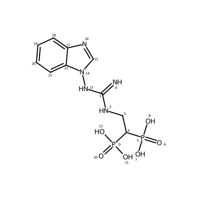 N=C(NCC(P(=O)(O)O)P(=O)(O)O)Nn1cnc2ccccc21